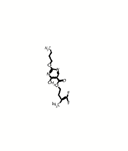 CCCCOc1ncc(C(=O)OCCC(C)=C(F)F)c(C)n1